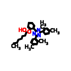 CCCCCCCC(O)Oc1ccccc1-c1nc(-c2ccc(C)cc2C)nc(-c2ccc(C)cc2C)n1